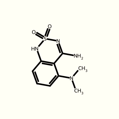 CN(C)c1cccc2c1C(N)=NS(=O)(=O)N2